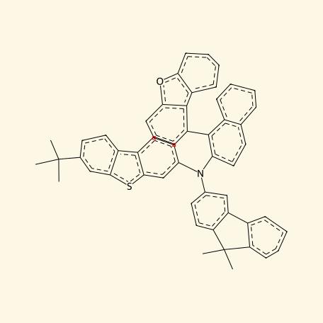 CC(C)(C)c1ccc2c(c1)sc1cc(N(c3ccc4c(c3)-c3ccccc3C4(C)C)c3ccc4ccccc4c3-c3cccc4oc5ccccc5c34)ccc12